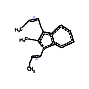 C/C=C\c1c(C)n(/C=C/C)c2ccccc12